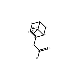 CC(=S)CC1=CCC2CC1C2(C)C